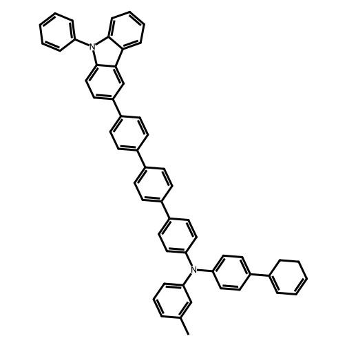 Cc1cccc(N(c2ccc(C3=CC=CCC3)cc2)c2ccc(-c3ccc(-c4ccc(-c5ccc6c(c5)c5ccccc5n6-c5ccccc5)cc4)cc3)cc2)c1